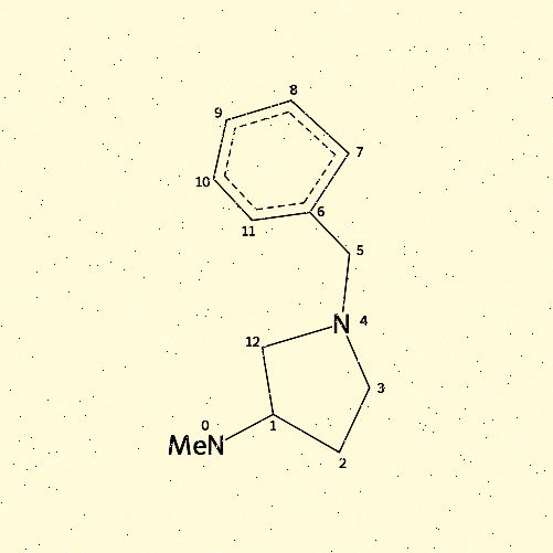 [CH2-][NH2+]C1CCN(Cc2ccccc2)C1